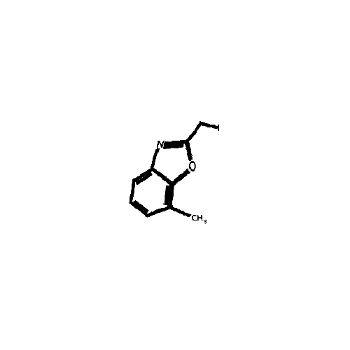 Cc1cccc2nc(CI)oc12